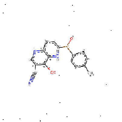 Cc1ccc([S+]([O-])c2ccc3ncc(C#N)c(O)c3n2)cc1